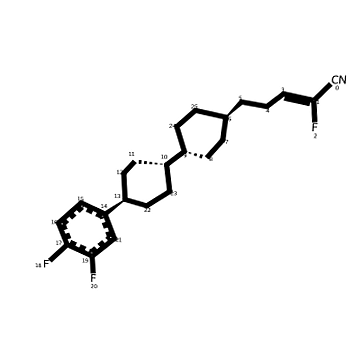 N#CC(F)=CCC[C@H]1CC[C@H]([C@H]2CC[C@H](c3ccc(F)c(F)c3)CC2)CC1